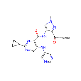 CNC(=O)c1nn(C)cc1NC(=O)c1nc(C2CC2)ncc1Nc1cncnc1